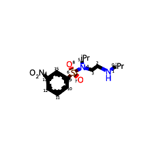 CC(C)NCCN(C(C)C)S(=O)(=O)c1cccc([N+](=O)[O-])c1